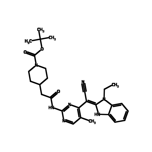 CCN1/C(=C(\C#N)c2nc(NC(=O)CC3CCN(C(=O)OC(C)(C)C)CC3)ncc2C)Nc2ccccc21